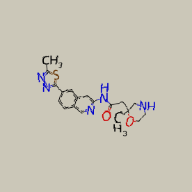 Cc1nnc(-c2ccc3cnc(NC(=O)CC4(C)CNCCO4)cc3c2)s1